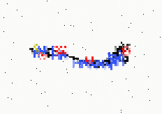 CC(=O)c1c(C)c2cnc(Nc3ccc(N4CCN(CC(=O)NCCCCCCCNC(=O)COc5ccc(C(=O)Nc6ncc(C)s6)c(C)c5)CC4)cn3)nc2n(C2CCCC2)c1=O